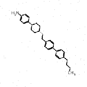 CCCCc1ccc(-c2ccc(CC[C@H]3CC[C@H](c4ccc(N)cc4)CC3)cc2)cc1